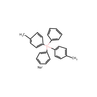 Cc1ccc([B-](c2ccccc2)(c2ccccc2)c2ccc(C)cc2)cc1.[Na+]